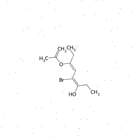 C=C(C)OC(=C/C(Br)=C(/O)CC)CC